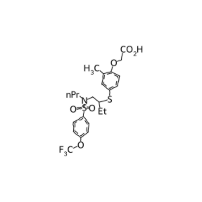 CCCN(CC(CC)Sc1ccc(OCC(=O)O)c(C)c1)S(=O)(=O)c1ccc(OC(F)(F)F)cc1